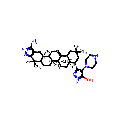 CC1(C)CC2C3=CCC4[C@@]5(C)Cc6c(n[nH]c6N)C(C)(C)C5CC[C@@]4(C)[C@]3(C)CC[C@@H]2[C@H](c2n[nH]c(O)c2N2CCNCC2)C1